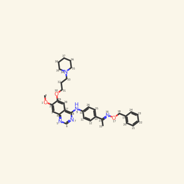 COc1cc2ncnc(Nc3ccc(C(C)=NOCc4ccccc4)cc3)c2cc1OCCCN1CCCCC1